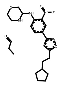 CCC=O.O=[N+]([O-])c1cc(-c2noc(CCC3CCCC3)n2)ccc1NC1COCCN1